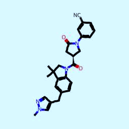 Cn1cc(Cc2ccc3c(c2)C(C)(C)CN3C(=O)[C@H]2CC(=O)N(c3cccc(C#N)c3)C2)cn1